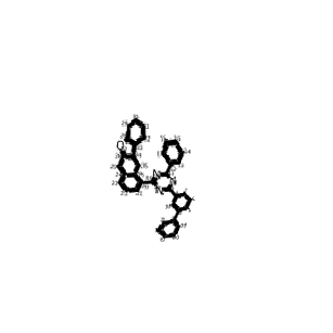 c1ccc(-c2cccc(-c3nc(-c4ccccc4)nc(-c4cccc5cc6oc7ccccc7c6cc45)n3)c2)cc1